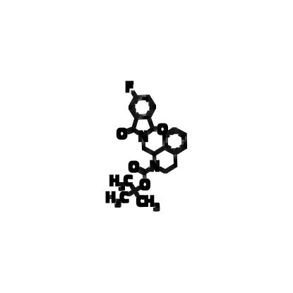 CC(C)(C)OC(=O)N1CCc2ccccc2C1CN1C(=O)c2ccc(F)cc2C1=O